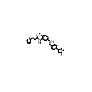 O=C(CCc1ccco1)Nc1cc(NCc2ccc(-c3cnn(I)c3)cc2)ccc1F